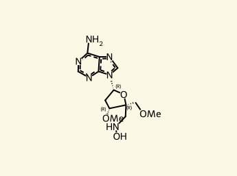 COC[C@@]1(CNO)O[C@@H](n2cnc3c(N)ncnc32)C[C@H]1OC